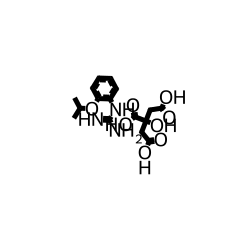 CC(C)Oc1ccccc1NC(=N)N.O=C(O)CC(O)(CC(=O)O)C(=O)O